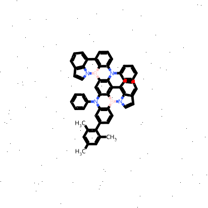 Cc1cc(C)c(-c2ccc3c(c2)N(c2ccccc2)c2cc4c(c5c2B3n2ccc3cccc-5c32)N(c2ccccc2)c2cccc3c2B4n2ccc4cccc-3c42)c(C)c1